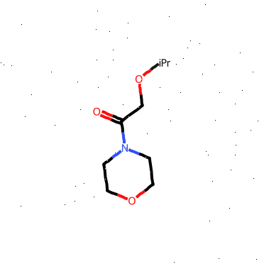 CC(C)OCC(=O)N1CCOCC1